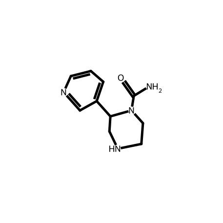 NC(=O)N1CCNCC1c1cccnc1